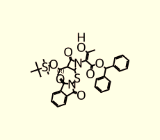 CC(O)=C(C(=O)OC(c1ccccc1)c1ccccc1)N1C(=O)C([C@@H](C)O[Si](C)(C)C(C)(C)C)C1SN1C(=O)c2ccccc2C1=O